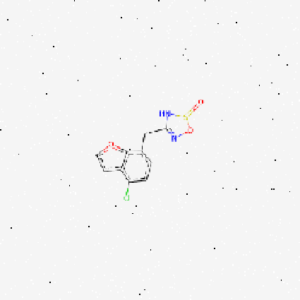 O=S1NC(Cc2ccc(Cl)c3ccoc23)=NO1